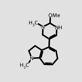 COC1NC=C(C2=CCC=CC3=C2CCN3C)CN1C